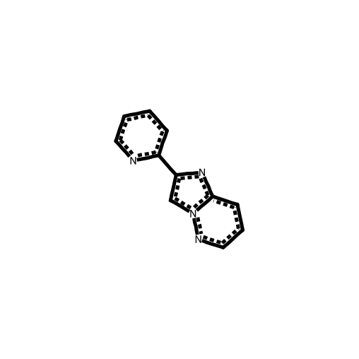 c1ccc(-c2cn3ncccc3n2)nc1